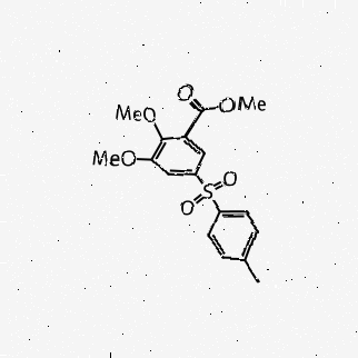 COC(=O)c1cc(S(=O)(=O)c2ccc(C)cc2)cc(OC)c1OC